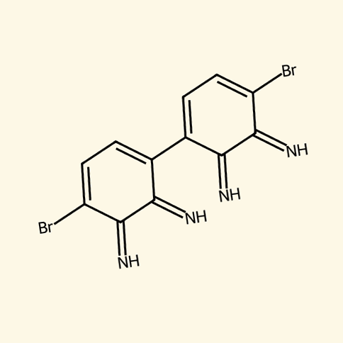 N=C1C(=N)C(C2=CC=C(Br)C(=N)C2=N)=CC=C1Br